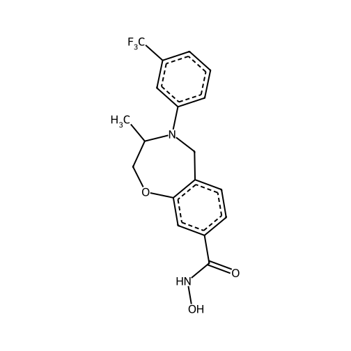 CC1COc2cc(C(=O)NO)ccc2CN1c1cccc(C(F)(F)F)c1